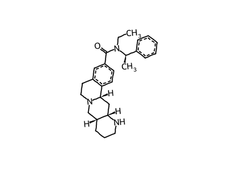 CCN(C(=O)c1ccc2c(c1)CCN1C[C@H]3CCCN[C@H]3C[C@@H]21)[C@H](C)c1ccccc1